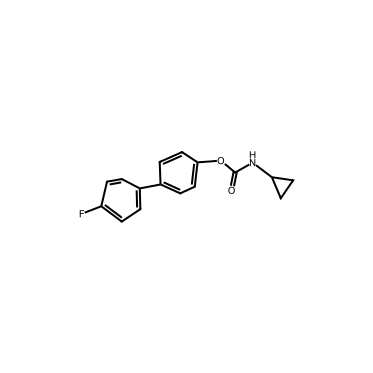 O=C(NC1CC1)Oc1ccc(-c2ccc(F)cc2)cc1